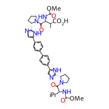 COC(=O)N[C@H](C(=O)N1CCC[C@H]1c1ncc(-c2ccc(-c3ccc(-c4cnc([C@@H]5CCCN5C(=O)[C@@H](NC(=O)OC)C(C)C(=O)O)[nH]4)cc3)cc2)[nH]1)C(C)C